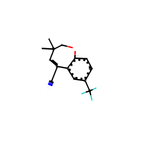 CC1(C)C=C(C#N)c2cc(C(F)(F)F)ccc2OC1